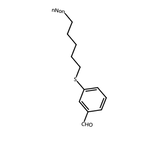 CCCCCCCCCCCCCCSc1cccc(C=O)c1